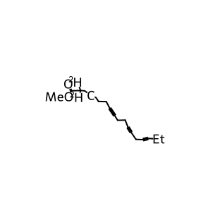 [2H]C([2H])(CCCCCC#CCCC#CCC#CCC)C(=O)OC